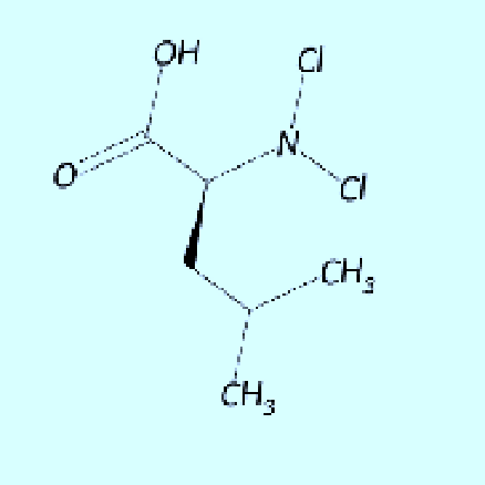 CC(C)C[C@@H](C(=O)O)N(Cl)Cl